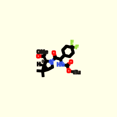 COC(=O)[C@@H]1[C@@H]2C(CN1C(=O)C(NC(=O)OC(C)(C)C)C1CCC(F)(F)CC1)C2(C)C